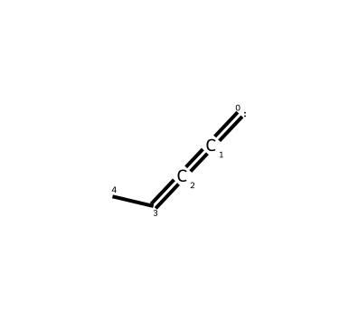 [C]=C=C=CC